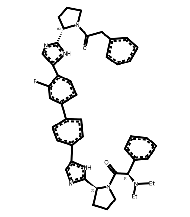 CCN(CC)[C@@H](C(=O)N1CCC[C@H]1c1ncc(-c2ccc(-c3ccc(-c4cnc([C@@H]5CCCN5C(=O)Cc5ccccc5)[nH]4)c(F)c3)cc2)[nH]1)c1ccccc1